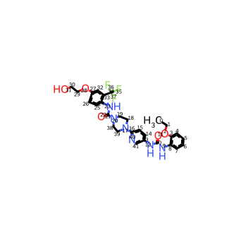 CCOc1ccccc1NC(=O)Nc1ccc(N2CCN(C(=O)Nc3ccc(OCCO)cc3C(F)(F)F)CC2)nc1